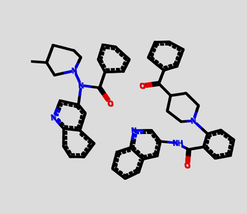 CC1CCCN(N(C(=O)c2ccccc2)c2cnc3ccccc3c2)C1.O=C(Nc1cnc2ccccc2c1)c1ccccc1N1CCC(C(=O)c2ccccc2)CC1